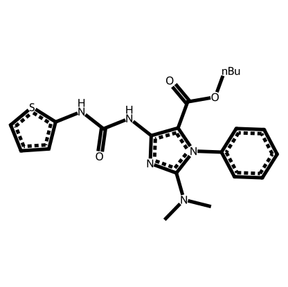 CCCCOC(=O)c1c(NC(=O)Nc2cccs2)nc(N(C)C)n1-c1ccccc1